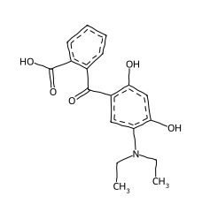 CCN(CC)c1cc(C(=O)c2ccccc2C(=O)O)c(O)cc1O